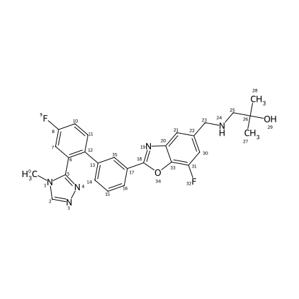 Cn1cnnc1-c1cc(F)ccc1-c1cccc(-c2nc3cc(CNCC(C)(C)O)cc(F)c3o2)c1